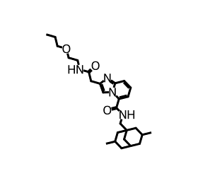 CCCOCCNC(=O)Cc1cn2c(C(=O)NCC34CC(C)CC(CC(C)C3)C4)cccc2n1